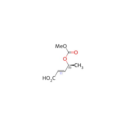 COC(=O)O[C@@H](C)/C=C/C(=O)O